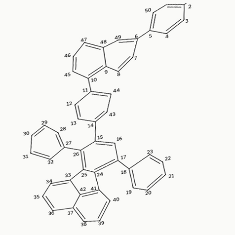 N#Cc1ccc(-c2ccc3c(-c4ccc(-c5cc(-c6ccccc6)c6c(c5-c5ccccc5)-c5cccc7cccc-6c57)cc4)cccc3c2)cc1